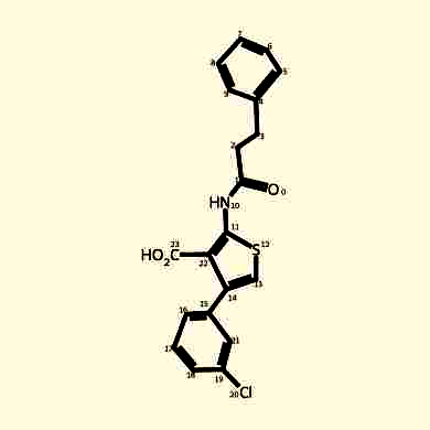 O=C(CCc1ccccc1)Nc1scc(-c2cccc(Cl)c2)c1C(=O)O